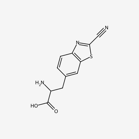 N#Cc1nc2ccc(CC(N)C(=O)O)cc2s1